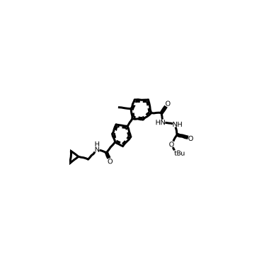 Cc1ccc(C(=O)NNC(=O)OC(C)(C)C)cc1-c1ccc(C(=O)NCC2CC2)cc1